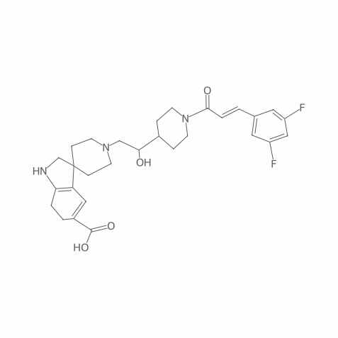 O=C(O)C1=CC2=C(CC1)NCC21CCN(CC(O)C2CCN(C(=O)/C=C/c3cc(F)cc(F)c3)CC2)CC1